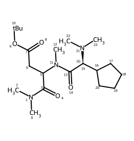 CN(C)C(=O)C(CC(=O)OC(C)(C)C)N(C)C(=O)[C@H](C1CCCC1)N(C)C